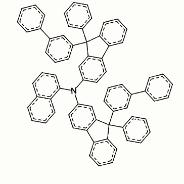 c1ccc(-c2cccc(C3(c4ccccc4)c4ccccc4-c4ccc(N(c5ccc6c(c5)C(c5ccccc5)(c5cccc(-c7ccccc7)c5)c5ccccc5-6)c5cccc6ccccc56)cc43)c2)cc1